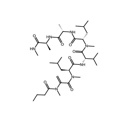 C=C(C(=O)N(C)[C@@H](CC(C)C)C(=O)N[C@H](C(=O)N(C)[C@@H](CC(C)C)C(=O)N[C@@H](C)C(=O)N[C@@H](C)C(=O)NC)C(C)C)N(C)C(=O)CCC